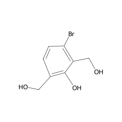 OCc1ccc(Br)c(CO)c1O